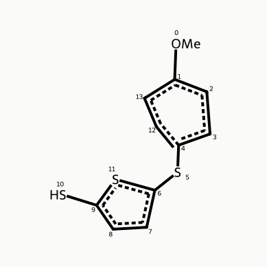 COc1ccc(Sc2ccc(S)s2)cc1